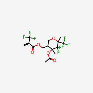 C=C(C(=O)OCC1COC(C)(C(F)(F)F)C(F)(F)C1(C)OC(C)=O)C(F)(F)F